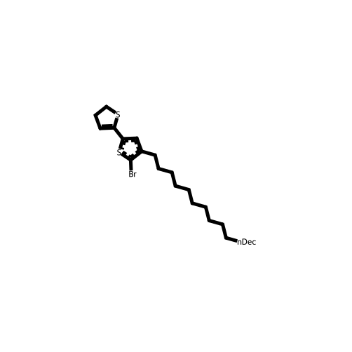 CCCCCCCCCCCCCCCCCCCCc1cc(C2=CCCS2)sc1Br